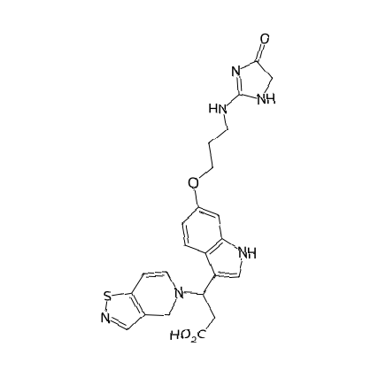 O=C(O)CC(c1c[nH]c2cc(OCCCNC3=NC(=O)CN3)ccc12)N1C=Cc2sncc2C1